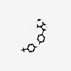 Nc1ncnc2[nH]nc(-c3ccc(Oc4ccc(C(F)(F)F)cc4)cc3)c12